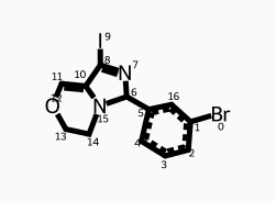 Brc1cccc(C2N=C(I)C3=COCCN32)c1